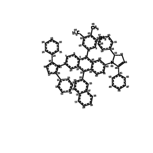 Cc1cc(-c2c3ccc(-n4c(-c5ccccc5)ccc4-c4ccccc4)cc3c(-c3ccc4ccccc4c3)c3ccc(N4C(c5ccccc5)=CCC4c4ccccc4)cc23)cc(C)c1C